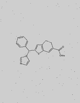 COC(=O)C1=Cc2sc(C(c3ccccc3)n3ccnc3)cc2CC1